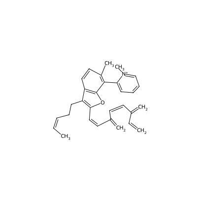 C=CC(=C)/C=C\C(=C)/C=C\c1oc2c(-c3cccc[n+]3C)c(C)ccc2c1CC/C=C\C